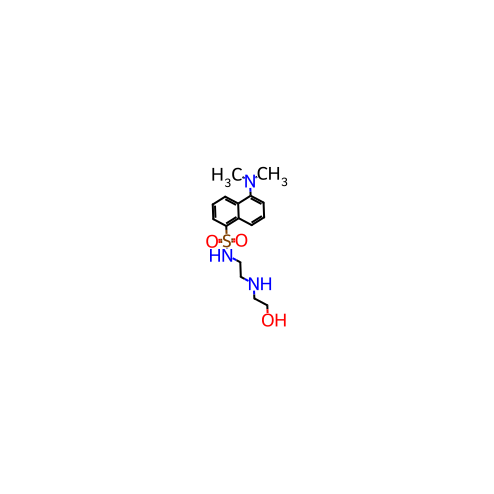 CN(C)c1cccc2c(S(=O)(=O)NCCNCCO)cccc12